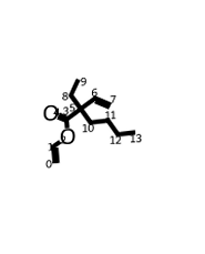 C=COC(=O)C(C=C)(CC)CCCC